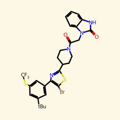 CC(C)(C)c1cc(SC(F)(F)F)cc(-c2nc(C3CCN(C(=O)Cn4c(=O)[nH]c5ccccc54)CC3)sc2Br)c1